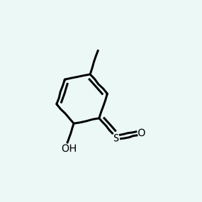 CC1=CC(=S=O)C(O)C=C1